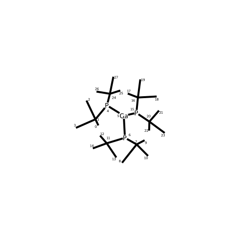 CC(C)(C)[P]([Ga]([P](C(C)(C)C)C(C)(C)C)[P](C(C)(C)C)C(C)(C)C)C(C)(C)C